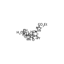 CCOC(=O)c1csc([C@H](O)C[C@H](C(C)C)N(C)C(=O)[C@@H](NC(=O)C[N+](C)(C)C)C(C)CC)n1